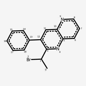 CC(Br)c1nc2cccnc2cc1-c1ccccc1